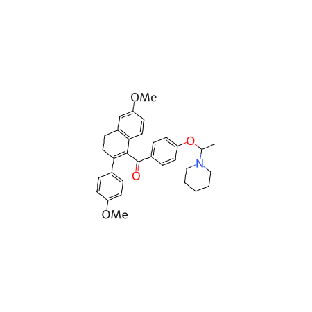 COc1ccc(C2=C(C(=O)c3ccc(OC(C)N4CCCCC4)cc3)c3ccc(OC)cc3CC2)cc1